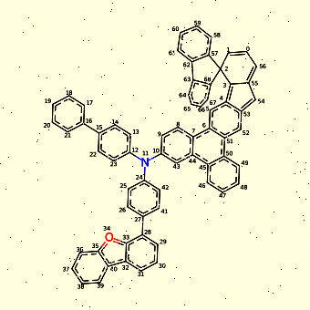 C1=CC2(C3=c4cc5c6ccc(N(c7ccc(-c8ccccc8)cc7)c7ccc(-c8cccc9c8oc8ccccc89)cc7)cc6c6ccccc6c5cc4=CC3=C1)c1ccccc1-c1ccccc12